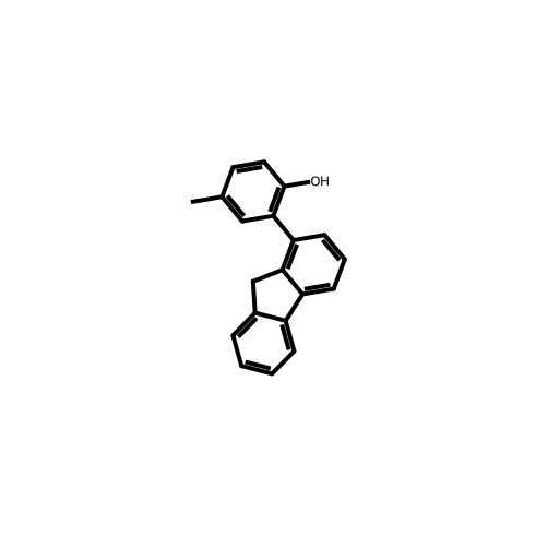 Cc1ccc(O)c(-c2cccc3c2Cc2ccccc2-3)c1